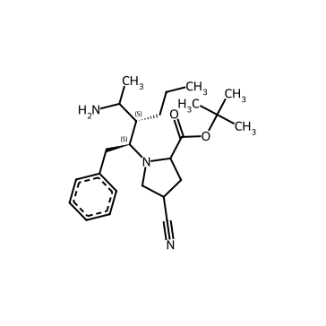 CCC[C@@H](C(C)N)[C@H](Cc1ccccc1)N1CC(C#N)CC1C(=O)OC(C)(C)C